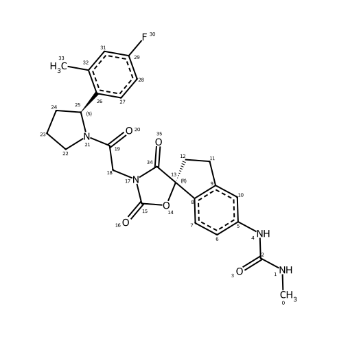 CNC(=O)Nc1ccc2c(c1)CC[C@@]21OC(=O)N(CC(=O)N2CCC[C@H]2c2ccc(F)cc2C)C1=O